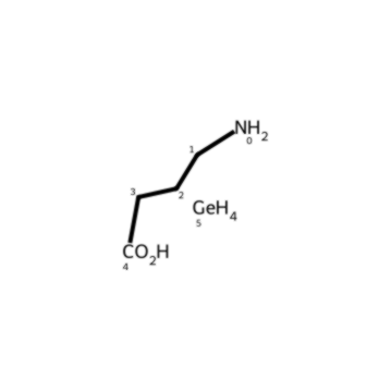 NCCCC(=O)O.[GeH4]